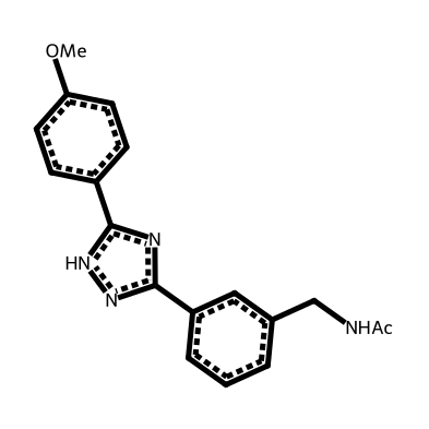 COc1ccc(-c2nc(-c3cccc(CNC(C)=O)c3)n[nH]2)cc1